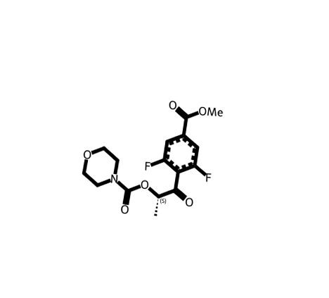 COC(=O)c1cc(F)c(C(=O)[C@H](C)OC(=O)N2CCOCC2)c(F)c1